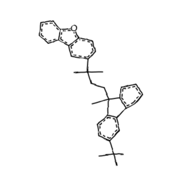 CC(C)(C)c1ccc2c(c1)-c1ccccc1C2(C)CCC(C)(C)c1ccc2oc3ccccc3c2c1